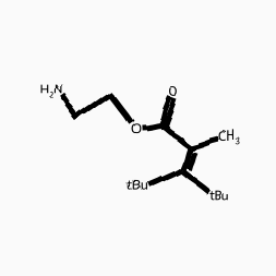 CC(C(=O)OCCN)=C(C(C)(C)C)C(C)(C)C